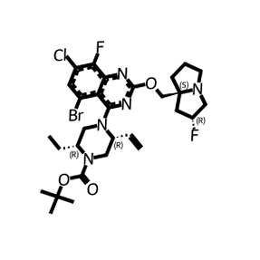 C=C[C@@H]1CN(C(=O)OC(C)(C)C)[C@H](CC)CN1c1nc(OC[C@@]23CCCN2C[C@H](F)C3)nc2c(F)c(Cl)cc(Br)c12